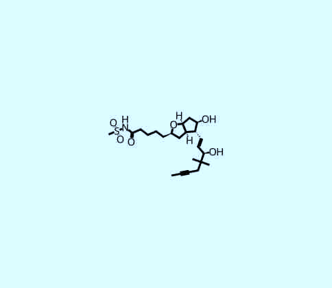 CC#CCC(C)(C)[C@H](O)C=C[C@@H]1[C@H]2C[C@@H](CCCCC(=O)NS(C)(=O)=O)O[C@H]2C[C@H]1O